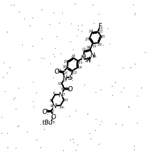 CC(C)(C)OC(=O)N1CCN(C(=O)Cn2sc3cc(-n4cc(-c5ccc(F)cc5)nn4)ccc3c2=O)CC1